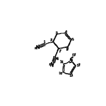 N#CC1CC=CCC1C#N.c1ccsc1